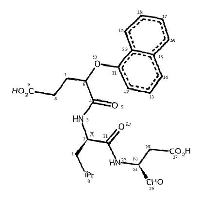 CC(C)C[C@@H](NC(=O)C(CCC(=O)O)Oc1cccc2ccccc12)C(=O)N[C@H](C=O)CC(=O)O